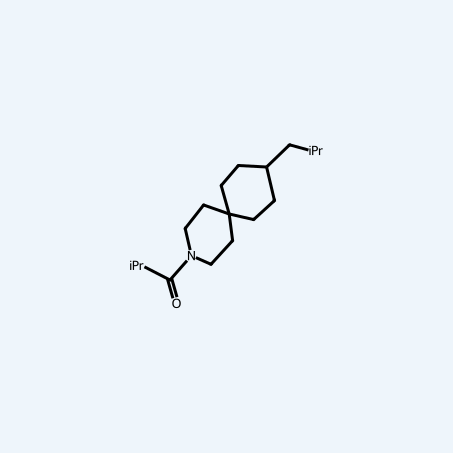 CC(C)CC1CCC2(CC1)CCN(C(=O)C(C)C)CC2